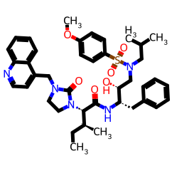 CC[C@H](C)[C@@H](C(=O)N[C@@H](Cc1ccccc1)[C@H](O)CN(CC(C)C)S(=O)(=O)c1ccc(OC)cc1)N1CCN(Cc2ccnc3ccccc23)C1=O